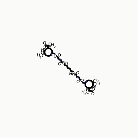 C=C1C(=O)O[C@H]2[C@H]1CC/C(COC(=O)/C=C/C(=O)NCCCCCCNC(=O)/C=C/C(=O)OC/C1=C/CC[C@@]3(C)O[C@H]3[C@H]3OC(=O)C(=C)[C@@H]3CC1)=C\CC[C@@]1(C)O[C@@H]21